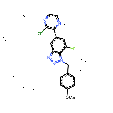 COc1ccc(Cn2nnc3cc(-c4nccnc4Cl)cc(F)c32)cc1